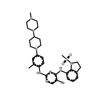 Cc1cc(N2CCC(N3CCN(C)CC3)CC2)ccc1Nc1ncc(Br)c(Nc2cccc3c2N(S(C)(=O)=O)CC3)n1